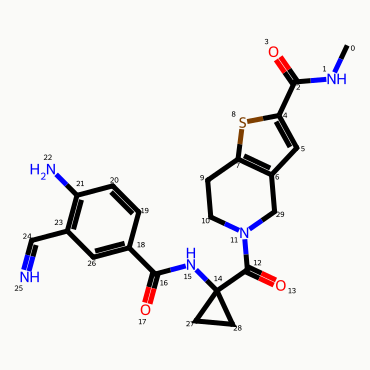 CNC(=O)c1cc2c(s1)CCN(C(=O)C1(NC(=O)c3ccc(N)c(C=N)c3)CC1)C2